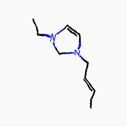 CC=CCN1C=CN(CC)C1